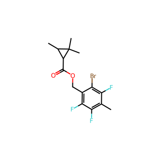 Cc1c(F)c(F)c(COC(=O)C2C(C)C2(C)C)c(Br)c1F